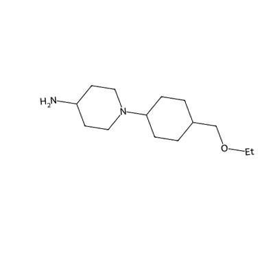 CCOCC1CCC(N2CCC(N)CC2)CC1